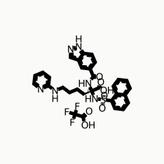 O=C(N[C@@](CCCCNc1ccccn1)(NS(=O)(=O)c1cccc2ccccc12)C(=O)O)c1ccc2[nH]ncc2c1.O=C(O)C(F)(F)F